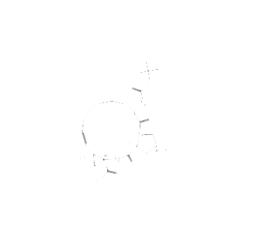 CC(=O)[C@@]12C[C@H]1/C=C\CCCCC[C@H](NC(=O)OC(C)(C)C)C(=O)N1C[C@H](C)C[C@H]1C(=O)N2